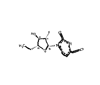 CC[C@H]1O[C@@H](n2ccc(=O)[nH]c2=O)[C@@H](F)[C@@H]1O